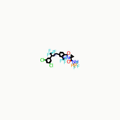 O=C(NC1(C(=O)NC[PH](F)(F)F)CC1)c1ccc(/C(F)=C/C(c2cc(Cl)cc(Cl)c2)C(F)(F)F)cc1C(F)(F)F